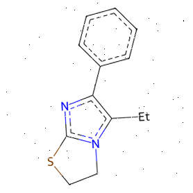 CCc1c(-c2ccccc2)nc2n1CCS2